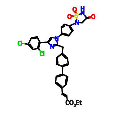 CCOC(=O)C=Cc1ccc(-c2ccc(Cc3nc(-c4ccc(Cl)cc4Cl)cn3-c3ccc(N4CC(=O)NS4(=O)=O)cc3)cc2)cc1